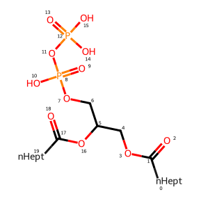 CCCCCCCC(=O)OCC(COP(=O)(O)OP(=O)(O)O)OC(=O)CCCCCCC